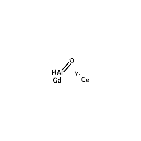 [Ce].[Gd].[O]=[AlH].[Y]